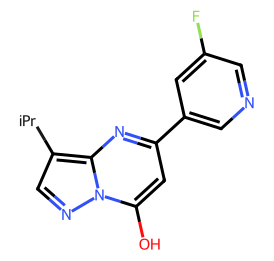 CC(C)c1cnn2c(O)cc(-c3cncc(F)c3)nc12